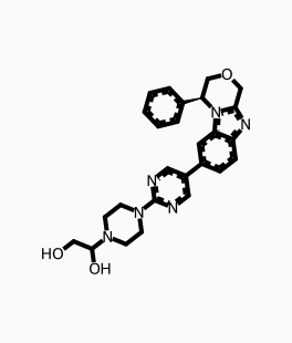 OCC(O)N1CCN(c2ncc(-c3ccc4nc5n(c4c3)[C@@H](c3ccccc3)COC5)cn2)CC1